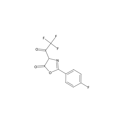 O=C1OC(c2ccc(F)cc2)=NC1C(=O)C(F)(F)F